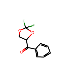 O=C(c1ccccc1)C1COC(F)(F)O1